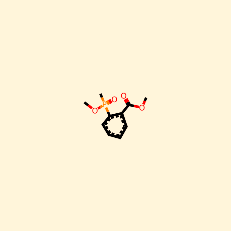 COC(=O)c1ccccc1P(C)(=O)OC